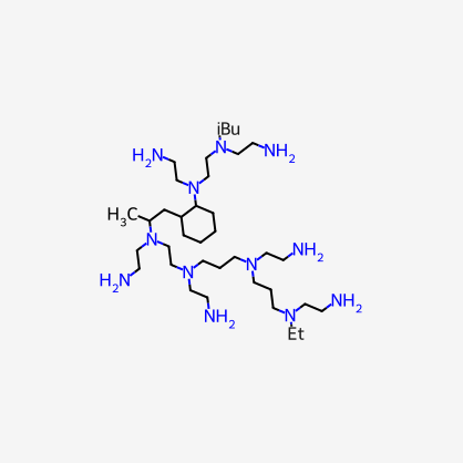 CCC(C)N(CCN)CCN(CCN)C1CCCCC1CC(C)N(CCN)CCN(CCN)CCCN(CCN)CCCN(CC)CCN